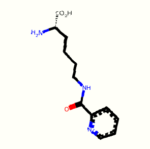 N[C@@H](CCCCNC(=O)c1ccccn1)C(=O)O